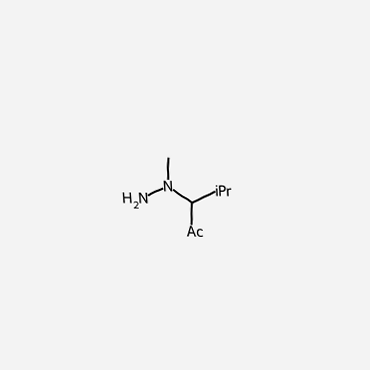 CC(=O)C(C(C)C)N(C)N